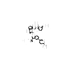 COc1ccc(-c2ccc3c(c2)c(C(N)=O)cn3CC(=O)N2[C@@H]3CC[C@@H](C3)[C@H]2C(=O)Nc2cccc(C)n2)cn1